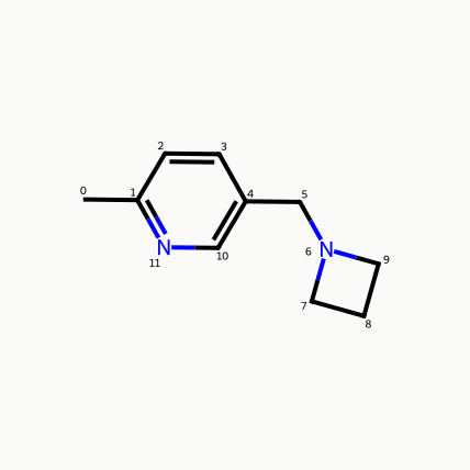 Cc1ccc(CN2CCC2)cn1